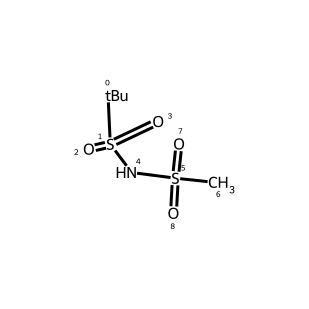 CC(C)(C)S(=O)(=O)NS(C)(=O)=O